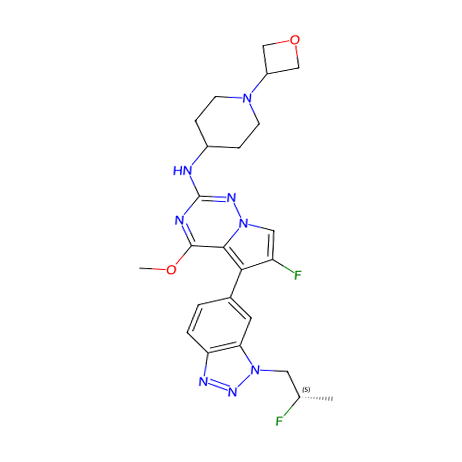 COc1nc(NC2CCN(C3COC3)CC2)nn2cc(F)c(-c3ccc4nnn(C[C@H](C)F)c4c3)c12